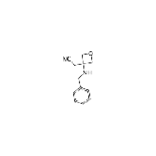 N#CCC1(NCc2ccccc2)COC1